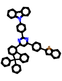 c1ccc(C2(c3ccccc3)c3ccccc3-c3c(-c4cc(-c5ccc(-c6cc7ccccc7s6)cc5)nc(-c5ccc(-n6c7ccccc7c7ccccc76)cc5)n4)cccc32)cc1